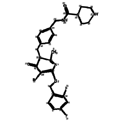 Cc1nc(OCc2ccc(F)cc2F)c(Br)c(=O)n1Cc1ccc(CNC(=O)N2CCNCC2)cc1